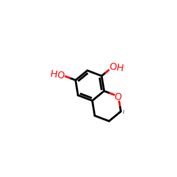 Oc1cc(O)c2c(c1)CC[C]O2